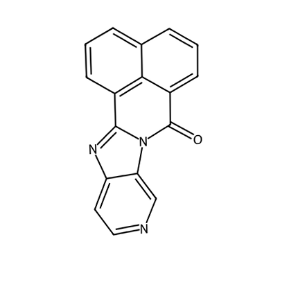 O=c1c2cccc3cccc(c32)c2nc3ccncc3n12